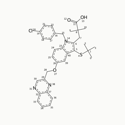 CC(C)(C)Sc1c(CC(C)(C)C(=O)O)n(Cc2ccc(Cl)cc2)c2ccc(OCc3cnc4ccccc4n3)cc12